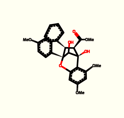 COC(=O)[C@@H]1[C@@H](c2ccccc2)[C@]2(c3ccc(OC)cc3)Oc3cc(OC)cc(OC)c3[C@@]1(O)C2O